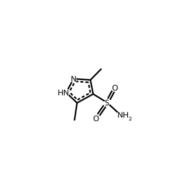 Cc1n[nH]c(C)c1S(N)(=O)=O